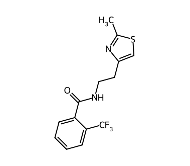 Cc1nc(CCNC(=O)c2ccccc2C(F)(F)F)cs1